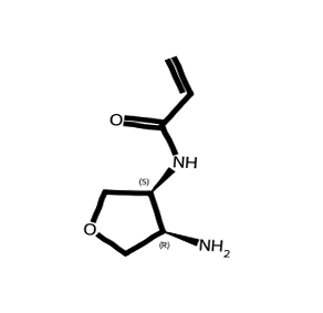 C=CC(=O)N[C@@H]1COC[C@@H]1N